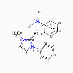 Cn1ccn(-c2ccccc2)[c]1=[Pt].IN(I)C12CCC(CC1)CC2